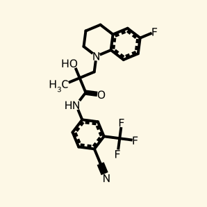 CC(O)(CN1CCCc2cc(F)ccc21)C(=O)Nc1ccc(C#N)c(C(F)(F)F)c1